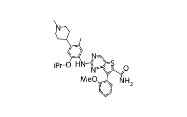 COc1ccccc1-c1c(C(N)=O)sc2cnc(Nc3cc(C)c(C4CCN(C)CC4)cc3OC(C)C)nc12